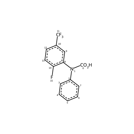 O=C(O)N(c1ccccc1)c1cc(C(F)(F)F)ccc1F